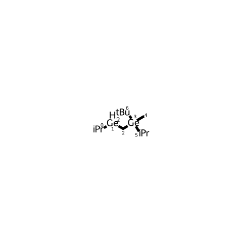 C[CH](C)[GeH2][CH2][Ge]([CH3])([CH](C)C)[C](C)(C)C